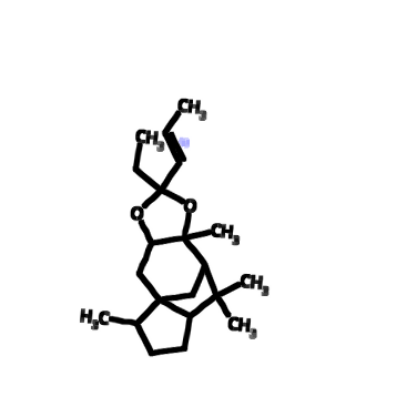 C/C=C/C1(CC)OC2CC34CC(C(C)(C)C3CCC4C)C2(C)O1